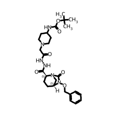 CC(C)(C)OC(=O)NC1CCN(CC(=O)NNC(=O)[C@@H]2CC[C@H]3CN2C(=O)N3OCc2ccccc2)CC1